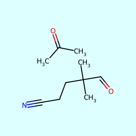 CC(C)(C=O)CCC#N.CC(C)=O